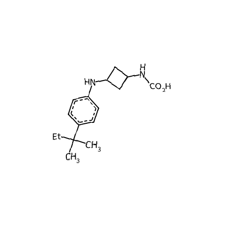 CCC(C)(C)c1ccc(NC2CC(NC(=O)O)C2)cc1